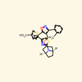 Cc1ccccc1-c1noc(C2CC2)c1CO[C@H]1C[C@H]2CC[C@@H](C1)N2c1nc(-c2cc(C(=O)O)cs2)cs1